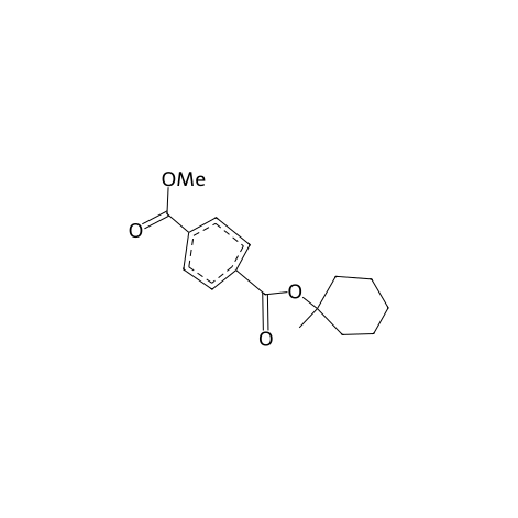 COC(=O)c1ccc(C(=O)OC2(C)CCCCC2)cc1